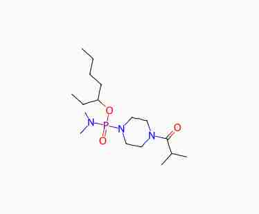 CCCCC(CC)OP(=O)(N(C)C)N1CCN(C(=O)C(C)C)CC1